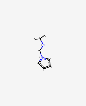 CC(C)NCn1cccc1